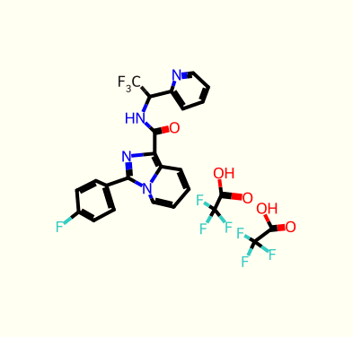 O=C(NC(c1ccccn1)C(F)(F)F)c1nc(-c2ccc(F)cc2)n2ccccc12.O=C(O)C(F)(F)F.O=C(O)C(F)(F)F